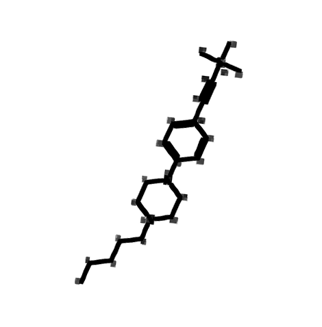 CCCCCN1CCN(c2ccc(C#C[Si](C)(C)C)cc2)CC1